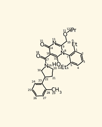 CCc1cccc(CC)c1-n1c(COC(C)C)nc(=O)c(C(=O)N2CCC(c3ccccc3C)C2)c1O